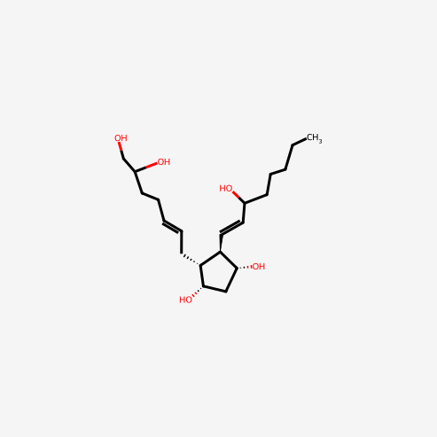 CCCCCC(O)C=C[C@@H]1[C@@H](CC=CCCC(O)CO)[C@@H](O)C[C@H]1O